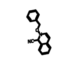 N#CC1c2ccccc2C=CN1OCc1ccccc1